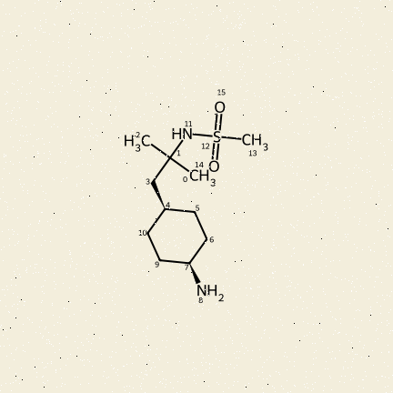 CC(C)(C[C@H]1CC[C@@H](N)CC1)NS(C)(=O)=O